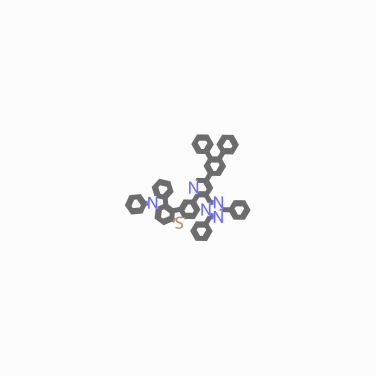 c1ccc(-c2nc(-c3ccccc3)nc(-c3cc(-c4ccc(-c5ccccc5)c(-c5ccccc5)c4)cnc3-c3ccc4sc5ccc6c(c7ccccc7n6-c6ccccc6)c5c4c3)n2)cc1